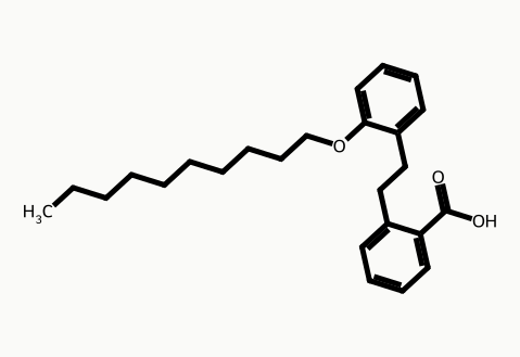 CCCCCCCCCCOc1ccccc1CCc1ccccc1C(=O)O